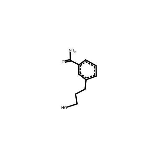 NC(=O)c1cccc(CCCO)c1